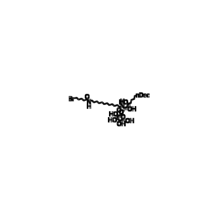 CCCCCCCCCCCCCC[C@@H](O)[C@@H](O)[C@H](CO[C@H]1O[C@H](CO)[C@H](O)[C@H](O)[C@H]1O)NC(=O)CCCCCCCCCCCNC(=O)CCCCBr